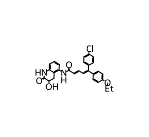 CCOc1ccc(/C(=C/C=C/C(=O)Nc2cccc3c2CC(O)C(=O)N3)c2ccc(Cl)cc2)cc1